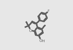 Cc1cc(O)cc2c1C(c1ccc(F)cc1)=CC(C)(C)O2